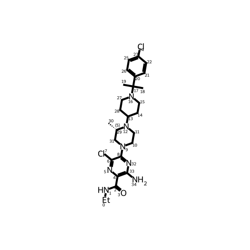 CCNC(=O)c1nc(Cl)c(N2CCN(C3CCN(C(C)(C)c4ccc(Cl)cc4)CC3)[C@@H](C)C2)nc1N